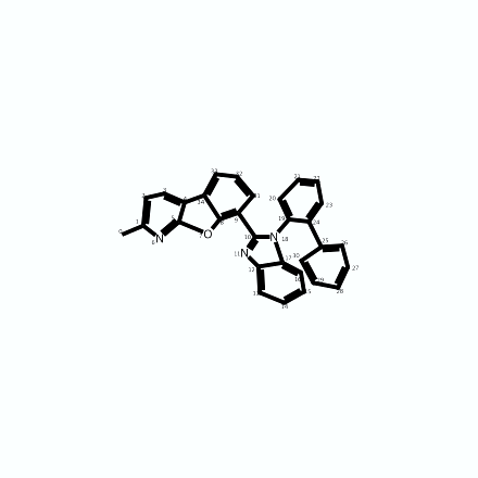 Cc1ccc2c(n1)oc1c(-c3nc4ccccc4n3-c3ccccc3-c3ccccc3)cccc12